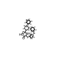 O=C(NC(Cc1cn(Cc2ccccc2)cn1)C(=O)O)C1CCN(c2cccnc2)CC1